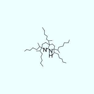 CCCCCC(C)C12CCC(C(C)CCCCC)(C(C)CCCCC)N=C1NC(C(C)CCCCC)(C(C)CCCCC)CC2